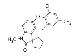 CN1C(=O)C2(CCCC2)c2cc(Oc3c(F)cc(C(F)(F)F)cc3Cl)ccc21